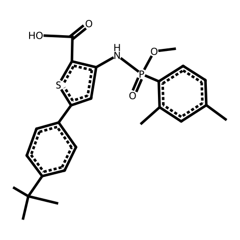 COP(=O)(Nc1cc(-c2ccc(C(C)(C)C)cc2)sc1C(=O)O)c1ccc(C)cc1C